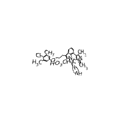 Cc1cc(OCCCc2c(C(=O)O)n(CCN3CCNCC3)c3c(-c4c(C)nn(C)c4C)cccc23)cc(C)c1Cl